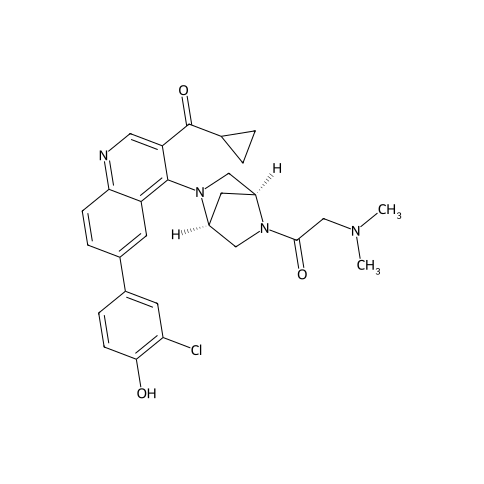 CN(C)CC(=O)N1C[C@@H]2C[C@H]1CN2c1c(C(=O)C2CC2)cnc2ccc(-c3ccc(O)c(Cl)c3)cc12